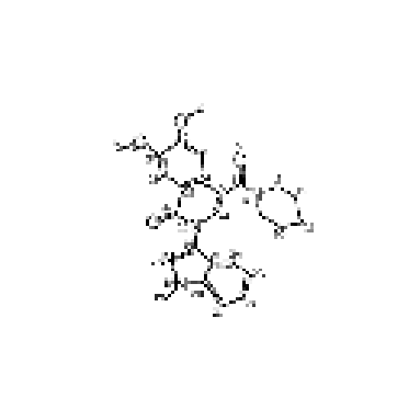 COc1cc2c(C(=O)N3CCCCC3)cn(-c3nn(C)c4ccccc34)c(=O)c2cc1OC